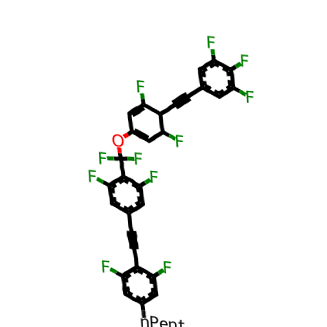 CCCCCc1cc(F)c(C#Cc2cc(F)c(C(F)(F)OC3=CC(F)C(C#Cc4cc(F)c(F)c(F)c4)C(F)=C3)c(F)c2)c(F)c1